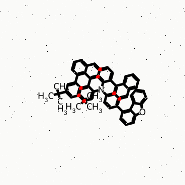 CC(C)(C)c1cc(-c2cccc3cccc(-c4ccccc4N(c4ccc(-c5cccc6oc7ccccc7c56)cc4)c4ccccc4-c4cccc5ccccc45)c23)cc(C(C)(C)C)c1